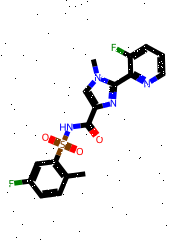 Cc1ccc(F)cc1S(=O)(=O)NC(=O)c1cn(C)c(-c2ncccc2F)n1